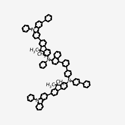 CC1(C)c2cc(-c3ccc4c(c3)c3ccccc3n4-c3ccccc3)ccc2-c2ccc(N(c3ccc(-c4ccccc4)cc3)c3ccc(-c4cccc(-c5ccc(N(c6ccccc6)c6ccc7c(c6)C(C)(C)c6cc(-c8ccc9c(c8)c8cc(-c%10ccccc%10)ccc8n9-c8ccccc8)ccc6-7)c6ccccc56)c4)cc3)cc21